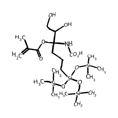 C=C(C)C(=O)OC(CCC[Si](O[Si](C)(C)C)(O[Si](C)(C)C)O[Si](C)(C)C)(NC(=O)O)C(O)CO